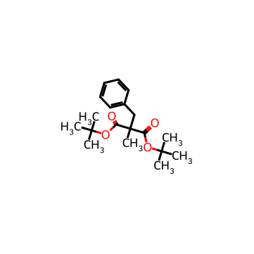 CC(C)(C)OC(=O)C(C)(Cc1ccccc1)C(=O)OC(C)(C)C